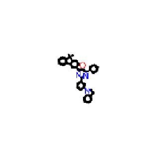 CC1(C)c2ccccc2-c2cc3c(cc21)oc1c(-c2ccccc2)nc(-c2cccc(-n4ccc5ccccc54)c2)nc13